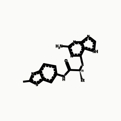 CC[C@@H](Sc1nc(N)nc2nc[nH]c12)C(=O)Nc1ccc2nc(C)sc2c1